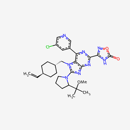 C=C[C@H]1CC[C@H](Cn2c(N3CCCC3C(C)(C)OC)nc3nc(-c4noc(=O)[nH]4)nc(-c4cncc(Cl)c4)c32)CC1